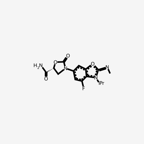 C/N=c1/oc2cc(N3C[C@H](C(N)=O)OC3=O)cc(F)c2n1C(C)C